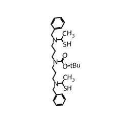 CC(S)N(CCCN(CCCN(Cc1ccccc1)C(C)S)C(=O)OC(C)(C)C)Cc1ccccc1